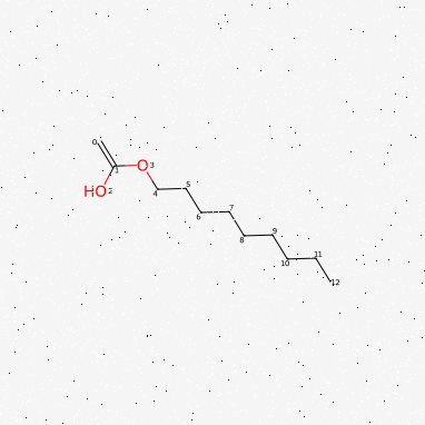 C=C(O)OCCCCCCCCC